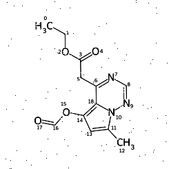 CCOC(=O)Cc1ncnn2c(C)cc(OC=O)c12